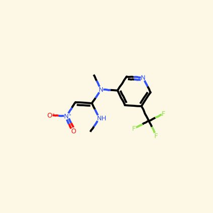 CNC(=C[N+](=O)[O-])N(C)c1cncc(C(F)(F)F)c1